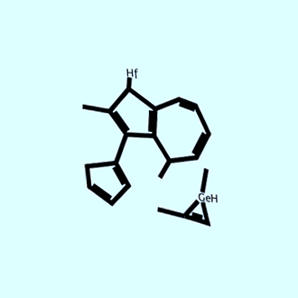 CC1=C(C2=CC=CC2)C2=C(C=CC=CC2C)[CH]1[Hf].C[C]1=[CH][GeH]1[CH3]